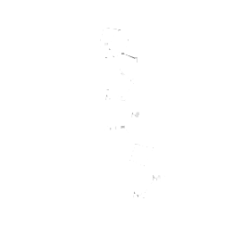 N#CNC1CC(C(=O)Nc2ncc([C@H]3CC4CCC3CC4)s2)C1